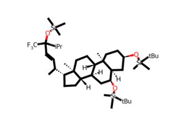 CC(/C=C/C(O[Si](C)(C)C)(C(C)C)C(F)(F)F)[C@H]1CC[C@H]2[C@@H]3C[C@H](O[Si](C)(C)C(C)(C)C)[C@@H]4C[C@H](O[Si](C)(C)C(C)(C)C)CC[C@]4(C)[C@H]3CC[C@]12C